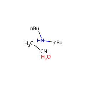 CC#N.CCCCNCCCC.O